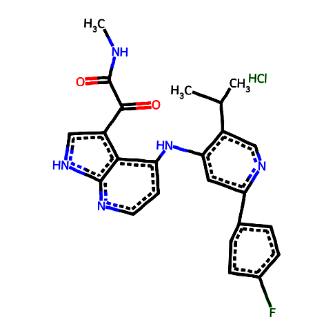 CNC(=O)C(=O)c1c[nH]c2nccc(Nc3cc(-c4ccc(F)cc4)ncc3C(C)C)c12.Cl